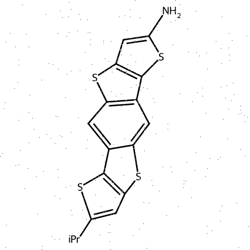 CC(C)c1cc2sc3cc4c(cc3c2s1)sc1cc(N)sc14